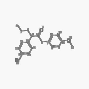 CCCC(C(=O)Cc1ccc(OC)nc1)c1ccc(Br)cc1